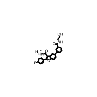 CNC(=O)c1c(-c2ccc(F)cc2)oc2ccc(-c3cccc(C(=O)NCCO)c3)cc12